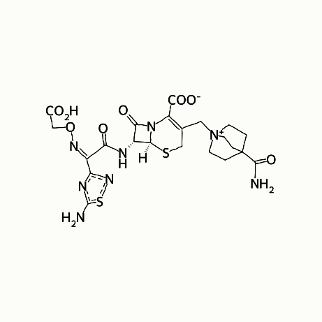 NC(=O)C12CC[N+](CC3=C(C(=O)[O-])N4C(=O)[C@@H](NC(=O)/C(=N\OCC(=O)O)c5nsc(N)n5)[C@@H]4SC3)(CC1)CC2